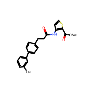 COC(=O)c1sccc1NC(=O)CCc1ccc(-c2cccc(C#N)c2)cc1